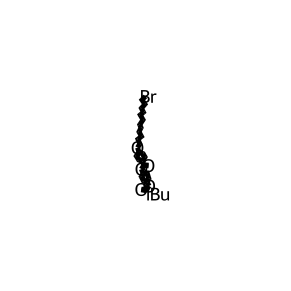 CCC(C)C(=O)Oc1ccc(OC(=O)c2ccc(OCCCCCCCCCCCCBr)cc2)cc1